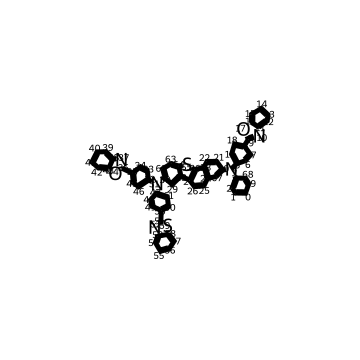 c1ccc(N(c2ccc(-c3nc4ccccc4o3)cc2)c2ccc3c(ccc4c5cc(N(c6ccc(-c7nc8ccccc8o7)cc6)c6ccc(-c7nc8ccccc8s7)cc6)ccc5sc34)c2)cc1